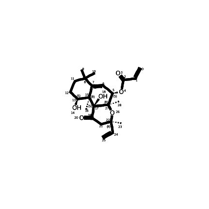 C=CC(=O)O[C@H]1C=C2C(C)(C)CC[C@H](O)[C@]2(C)[C@@]2(O)C(=O)C[C@](C)(C=C)O[C@]12C